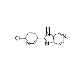 Clc1ccc(-c2nc3ccncc3[nH]2)cn1